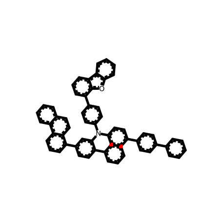 c1ccc(-c2ccc(-c3ccc(N(c4ccc(-c5cccc6c5oc5ccccc56)cc4)c4cc(-c5cccc6c5ccc5ccccc56)ccc4-c4ccccc4)cc3)cc2)cc1